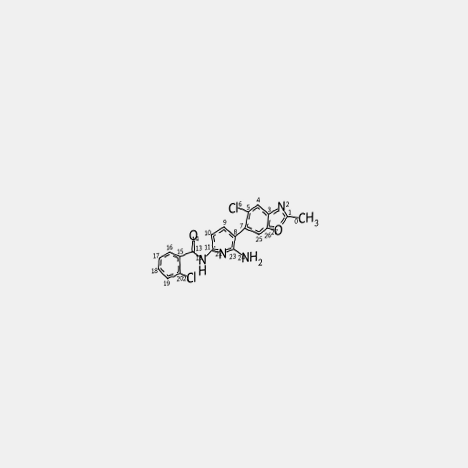 Cc1nc2cc(Cl)c(-c3ccc(NC(=O)c4ccccc4Cl)nc3N)cc2o1